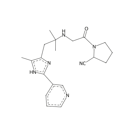 Cc1[nH]c(-c2cccnc2)nc1CC(C)(C)NCC(=O)N1CCCC1C#N